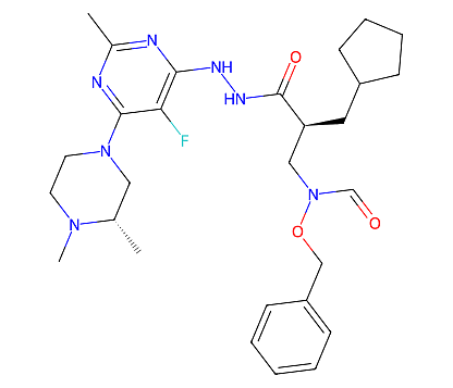 Cc1nc(NNC(=O)[C@@H](CC2CCCC2)CN(C=O)OCc2ccccc2)c(F)c(N2CCN(C)[C@@H](C)C2)n1